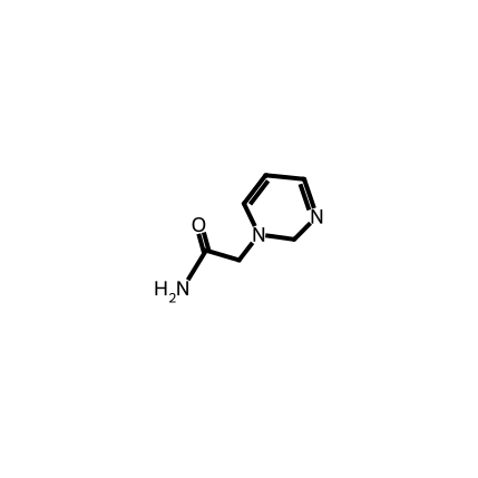 NC(=O)CN1C=CC=NC1